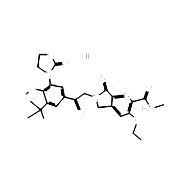 Br.CCOc1cc2c(nc1C(=O)NC)C(=N)N(CC(=O)c1cc(N3CCOC3=O)c(OC)c(C(C)(C)C)c1)C2